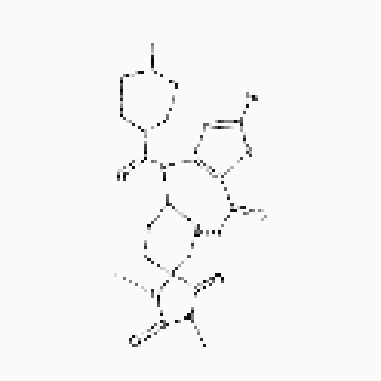 COC(=O)c1sc(Br)cc1N(C(=O)C1CCC(C)CC1)C1CCC2(CC1)C(=O)N(C)C(=O)N2C